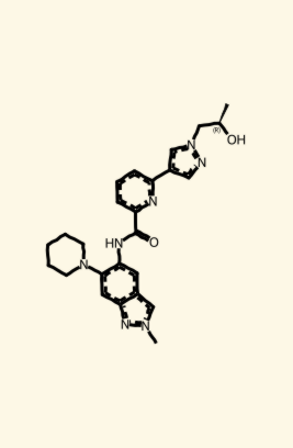 C[C@@H](O)Cn1cc(-c2cccc(C(=O)Nc3cc4cn(C)nc4cc3N3CCCCC3)n2)cn1